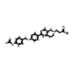 O=C(O)CCN1CCc2nc(-c3ccc(OCc4ccc(OC(F)F)cc4)cc3)ncc2C1